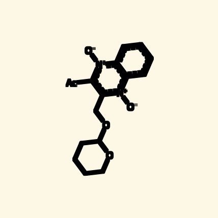 CC(=O)c1c(COC2CCCCO2)[n+]([O-])c2ccccc2[n+]1[O-]